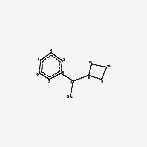 [CH2]C(c1ccccc1)C1CCC1